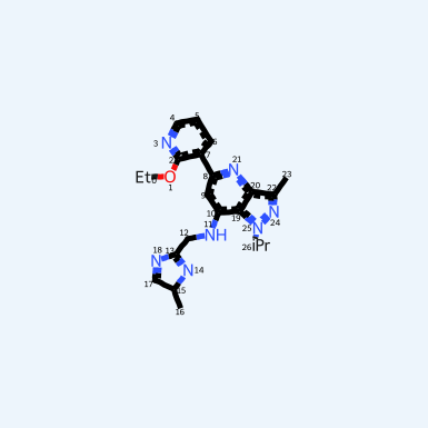 CCOc1ncccc1-c1cc(NCC2=NC(C)C=N2)c2c(n1)c(C)nn2C(C)C